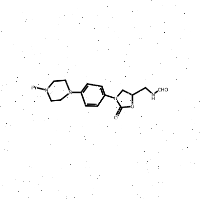 CC(C)N1CCN(c2ccc(N3CC(CNC=O)OC3=O)cc2)CC1